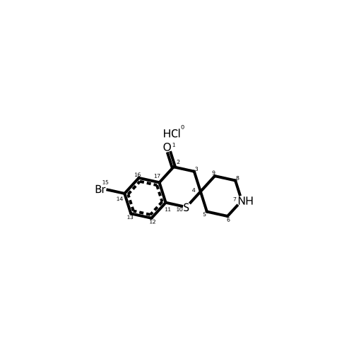 Cl.O=C1CC2(CCNCC2)Sc2ccc(Br)cc21